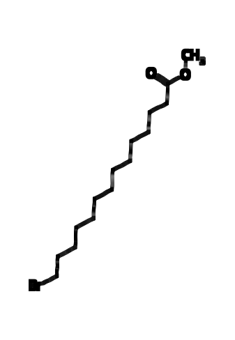 COC(=O)CCCCCCCCCCCCCBr